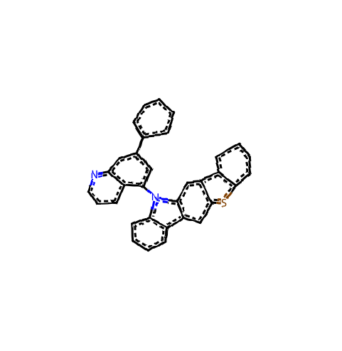 c1ccc(-c2cc(-n3c4ccccc4c4cc5sc6ccccc6c5cc43)c3cccnc3c2)cc1